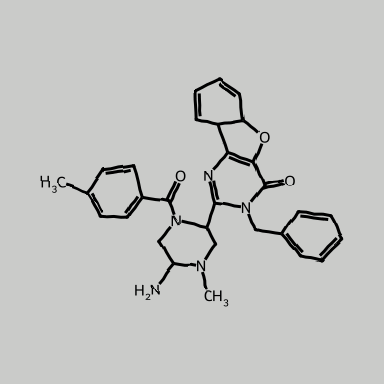 Cc1ccc(C(=O)N2CC(N)N(C)CC2c2nc3c(c(=O)n2Cc2ccccc2)OC2C=CC=CC32)cc1